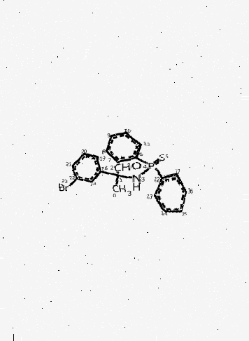 C[C@](C=O)(NP(=S)(c1ccccc1)c1ccccc1)c1cccc(Br)c1